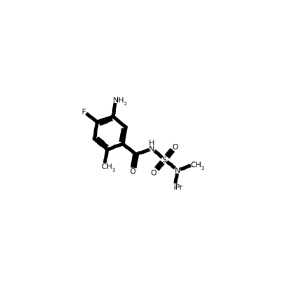 Cc1cc(F)c(N)cc1C(=O)NS(=O)(=O)N(C)C(C)C